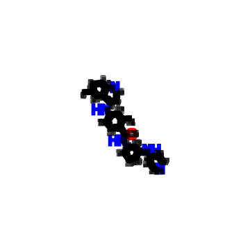 Cc1ccc2nccc(Nc3ccc(C(=O)Nc4cccc(Nc5ccncc5)c4)c(C)c3)c2c1